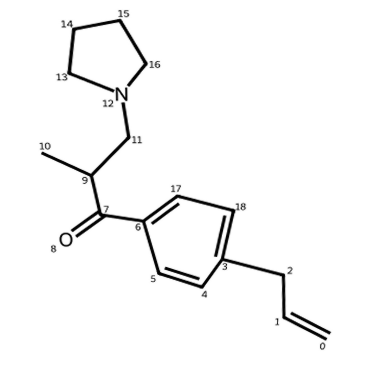 C=CCc1ccc(C(=O)C(C)CN2CCCC2)cc1